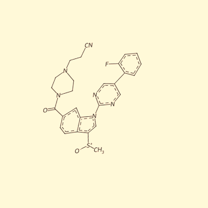 C[S+]([O-])c1cn(-c2ncc(-c3ccccc3F)cn2)c2cc(C(=O)N3CCN(CCC#N)CC3)ccc12